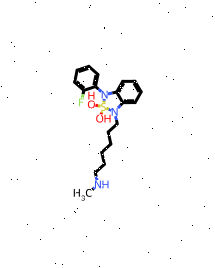 CNCCCCCCN1c2ccccc2N(c2ccccc2F)S1(O)O